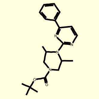 CC1CN(C(=O)OC(C)(C)C)CC(C)N1c1nccc(-c2ccccc2)n1